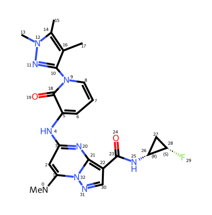 CNc1cc(Nc2cccn(-c3nn(C)c(C)c3C)c2=O)nc2c(C(=O)N[C@@H]3C[C@@H]3F)cnn12